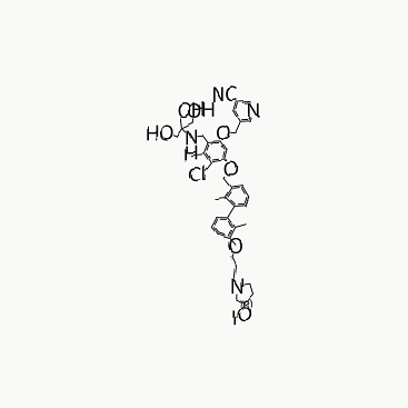 Cc1c(COc2cc(OCc3cncc(C#N)c3)c(CNC(CO)(CO)CO)c(C)c2Cl)cccc1-c1cccc(OCCCN2CC[C@@H](OI)C2)c1C